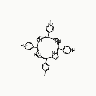 Cc1ccc(-c2c3nc(c(-c4cc[n+](C)cc4)c4ccc([nH]4)c(-c4cc[n+](C)cc4)c4nc(c(-c5cc[n+](C)cc5)c5ccc2[nH]5)C=C4)C=C3)cc1